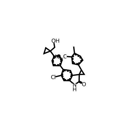 Cc1ccc(C2CC23C(=O)Nc2cc(Cl)c(-c4ccc(C5(CO)CC5)cc4)cc23)cc1C(=O)O